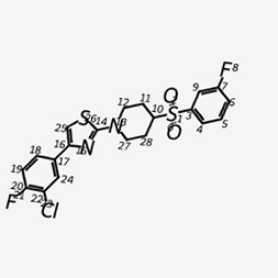 O=S(=O)(c1cccc(F)c1)C1CCN(c2nc(-c3ccc(F)c(Cl)c3)cs2)CC1